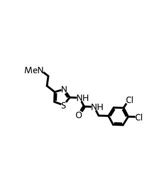 CNCCc1csc(NC(=O)NCc2ccc(Cl)c(Cl)c2)n1